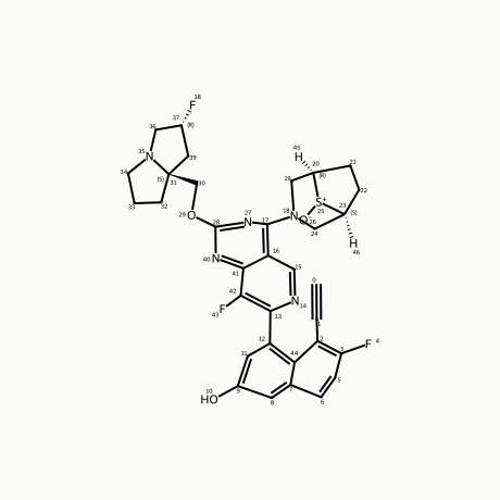 C#Cc1c(F)ccc2cc(O)cc(-c3ncc4c(N5C[C@H]6CC[C@@H](C5)[S+]6[O-])nc(OC[C@@]56CCCN5C[C@H](F)C6)nc4c3F)c12